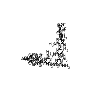 Nc1nc(N)nc(N)n1.Nc1nc(N)nc(N)n1.Nc1nc(N)nc(N)n1.Nc1nc(N)nc(N)n1.O=P([O-])([O-])OP(=O)([O-])[O-].O=P([O-])([O-])OP(=O)([O-])[O-].O=P([O-])([O-])OP(=O)([O-])[O-].[Al+3].[Al+3].[Al+3].[Al+3]